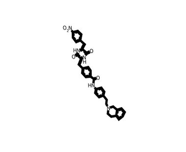 O=C(Nc1ccc(CCN2CCc3ccccc3C2)cc1)c1ccc(/C=c2\[nH]c(=O)/c(=C/c3ccc([N+](=O)[O-])cc3)[nH]c2=O)cc1